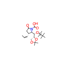 C/C=C\[C@@H]1CC(=O)N(C(=O)O)[C@H]1[C@H](O[Si](C)(C)C(C)(C)C)[C@H]1COC(C)(C)O1